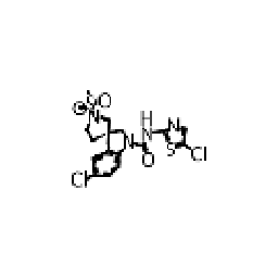 CS(=O)(=O)N1CC[C@]2(CN(C(=O)Nc3ncc(Cl)s3)c3ccc(Cl)cc32)C1